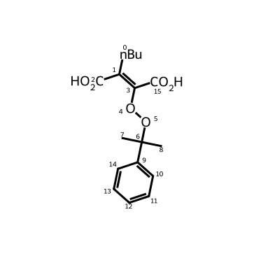 CCCC/C(C(=O)O)=C(/OOC(C)(C)c1ccccc1)C(=O)O